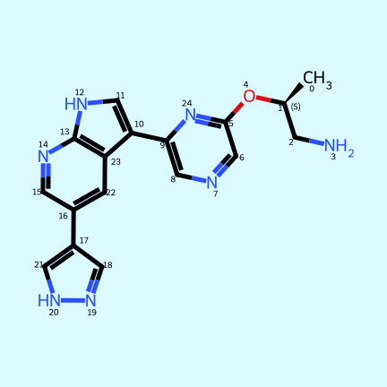 C[C@@H](CN)Oc1cncc(-c2c[nH]c3ncc(-c4cn[nH]c4)cc23)n1